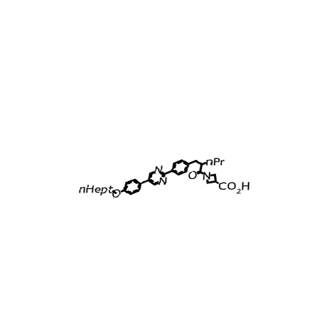 CCCCCCCOc1ccc(-c2cnc(-c3ccc(CC(CCC)C(=O)N4CC(C(=O)O)C4)cc3)nc2)cc1